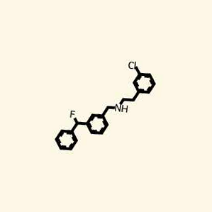 FC(c1ccccc1)c1cccc(CNCCc2cccc(Cl)c2)c1